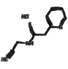 C#CCNC(=S)Cc1ccccn1.Cl